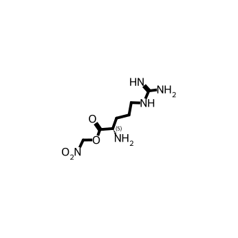 N=C(N)NCCC[C@H](N)C(=O)OC[N+](=O)[O-]